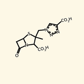 CC1(Cn2cc(C(=O)O)nn2)SC2CC(=O)N2C1C(=O)O